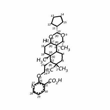 CC1(C)CCC2[C@]3(C)CO[C@@H](C4CCCC4)O[C@@H]3CC[C@@]2(C)[C@@H]1CCOc1ncccc1C(=O)O